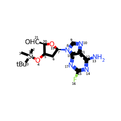 CC(C)(C)[Si](C)(C)OC1C[C@H](n2cnc3c(N)nc(F)nc32)O[C@@H]1C=O